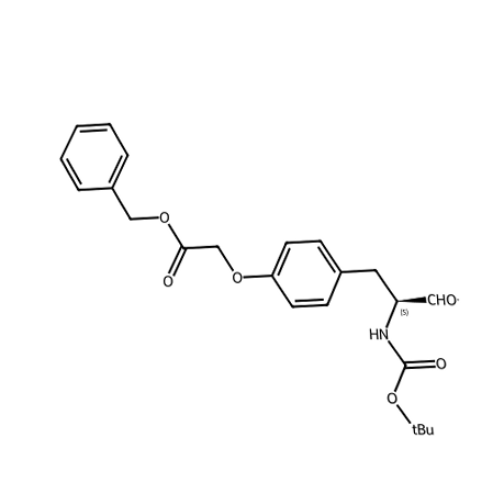 CC(C)(C)OC(=O)N[C@H]([C]=O)Cc1ccc(OCC(=O)OCc2ccccc2)cc1